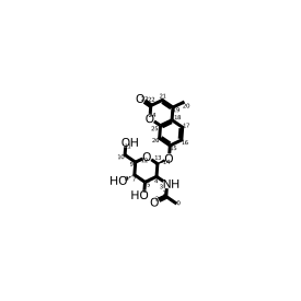 CC(=O)NC1C(O)[C@H](O)C(CO)O[C@H]1Oc1ccc2c(C)cc(=O)oc2c1